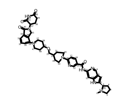 CN1CCC[C@@H]1c1cc2cnc(NC(=O)c3ccc(N4CCC(COC5CCN(c6cccc7c6CN(C6CCC(=O)NC6=O)C7=O)CC5)CC4)nc3)cc2[nH]1